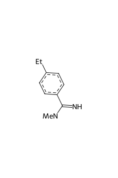 CCc1ccc(C(=N)NC)cc1